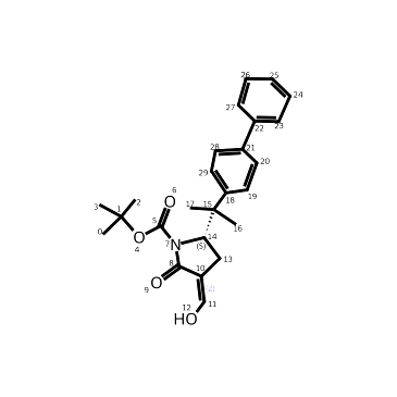 CC(C)(C)OC(=O)N1C(=O)/C(=C\O)C[C@H]1C(C)(C)c1ccc(-c2ccccc2)cc1